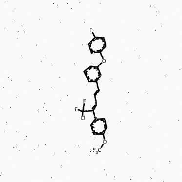 Fc1ccc(Oc2cccc(C=CC=C(c3ccc(OC(F)(F)F)cc3)C(F)(F)Cl)c2)cc1